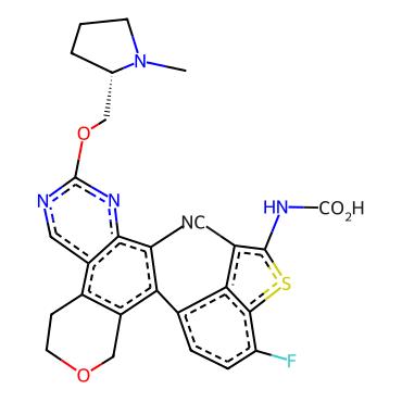 Cc1c(-c2ccc(F)c3sc(NC(=O)O)c(C#N)c23)c2c(c3cnc(OC[C@@H]4CCCN4C)nc13)CCOC2